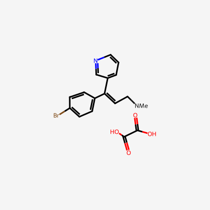 CNC/C=C(/c1ccc(Br)cc1)c1cccnc1.O=C(O)C(=O)O